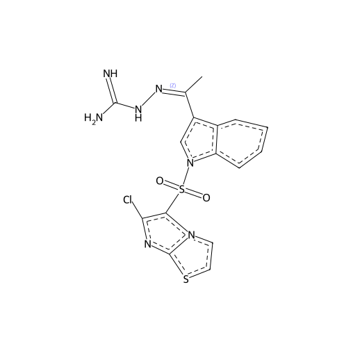 C/C(=N/NC(=N)N)c1cn(S(=O)(=O)c2c(Cl)nc3sccn23)c2ccccc12